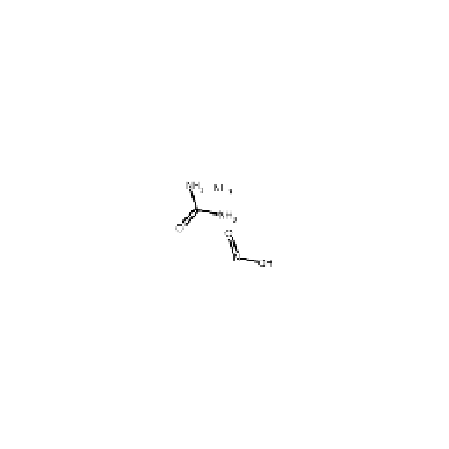 N.NC(N)=O.O=NO